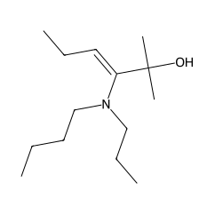 CC/C=C(\N(CCC)CCCC)C(C)(C)O